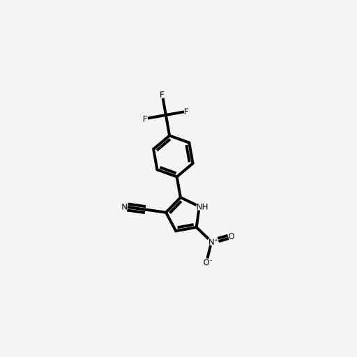 N#Cc1cc([N+](=O)[O-])[nH]c1-c1ccc(C(F)(F)F)cc1